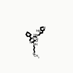 COCCCCNc1ncc(-c2ccccc2)n(CC(=O)NCc2cc3cnccc3[nH]2)c1=O